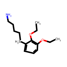 CCOc1cccc([SiH2]CCCCN)c1OCC